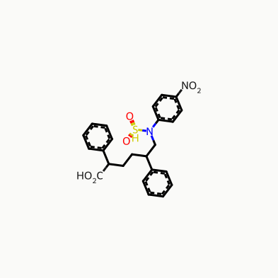 O=C(O)C(CCC(CN(c1ccc([N+](=O)[O-])cc1)[SH](=O)=O)c1ccccc1)c1ccccc1